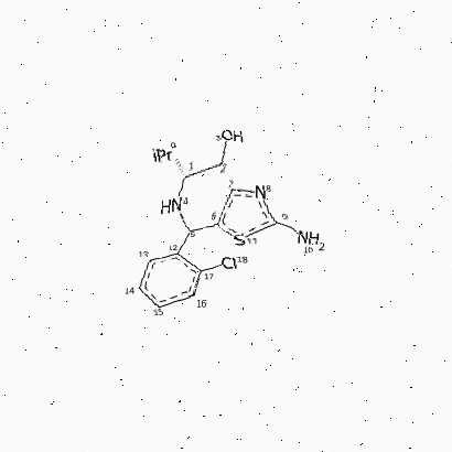 CC(C)[C@H](CO)NC(c1cnc(N)s1)c1ccccc1Cl